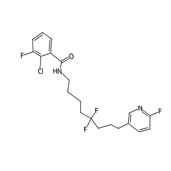 O=C(NCCCCC(F)(F)CCCc1ccc(F)nc1)c1cccc(F)c1Cl